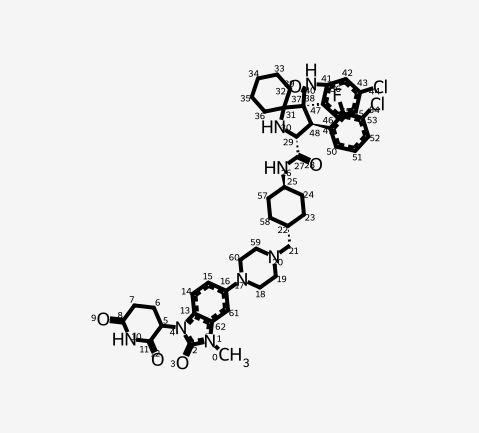 Cn1c(=O)n(C2CCC(=O)NC2=O)c2ccc(N3CCN(C[C@H]4CC[C@H](NC(=O)[C@@H]5NC6(CCCCC6)[C@@]6(C(=O)Nc7cc(Cl)ccc76)[C@H]5c5cccc(Cl)c5F)CC4)CC3)cc21